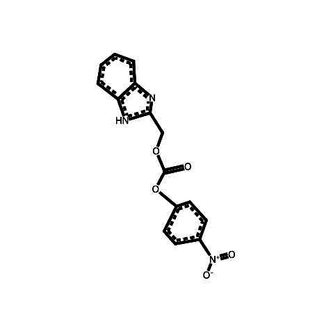 O=C(OCc1nc2ccccc2[nH]1)Oc1ccc([N+](=O)[O-])cc1